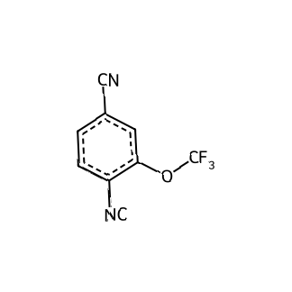 [C-]#[N+]c1ccc(C#N)cc1OC(F)(F)F